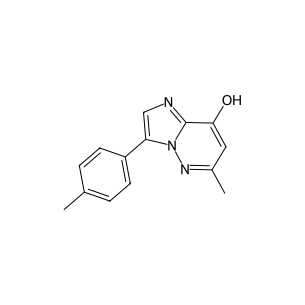 Cc1ccc(-c2cnc3c(O)cc(C)nn23)cc1